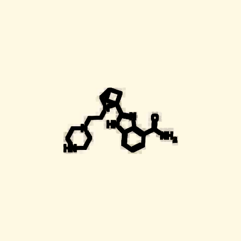 NC(=O)c1cccc2[nH]c(C34CC(CN3CCN3CCNCC3)C4)nc12